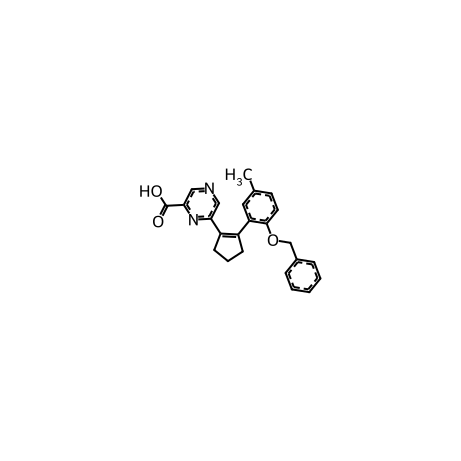 Cc1ccc(OCc2ccccc2)c(C2=C(c3cncc(C(=O)O)n3)CCC2)c1